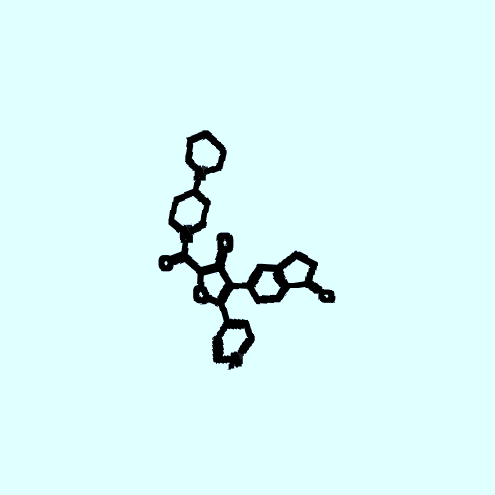 O=C1CCc2cc(C3=C(c4ccncc4)OC(C(=O)N4CCC(N5CCCCC5)CC4)C3=O)ccc21